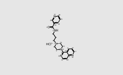 Cl.O=C(NCCCN1CCN(c2nccc3ncccc23)CC1)c1cccnc1